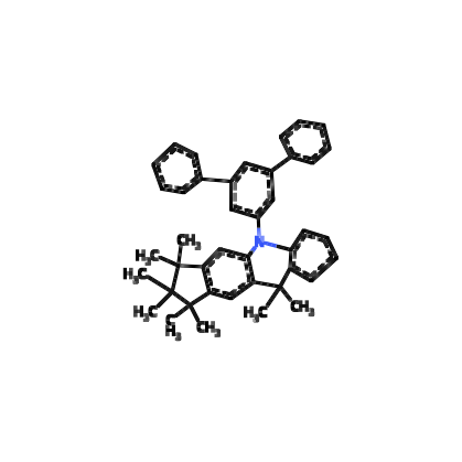 CC1(C)c2ccccc2N(c2cc(-c3ccccc3)cc(-c3ccccc3)c2)c2cc3c(cc21)C(C)(C)C(C)(C)C3(C)C